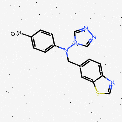 O=[N+]([O-])c1ccc(N(Cc2ccc3ncsc3c2)n2cnnc2)cc1